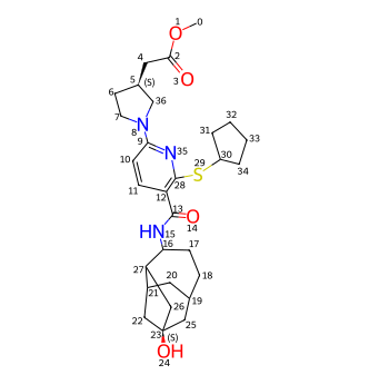 COC(=O)C[C@@H]1CCN(c2ccc(C(=O)NC3CCC4CC5C[C@@](O)(C4)CC53)c(SC3CCCC3)n2)C1